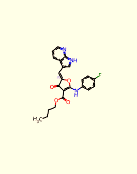 CCCCOC(=O)C1=C(Nc2ccc(F)cc2)O/C(=C\c2c[nH]c3ncccc23)C1=O